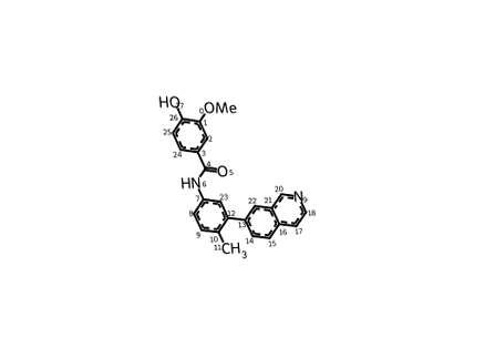 COc1cc(C(=O)Nc2ccc(C)c(-c3ccc4ccncc4c3)c2)ccc1O